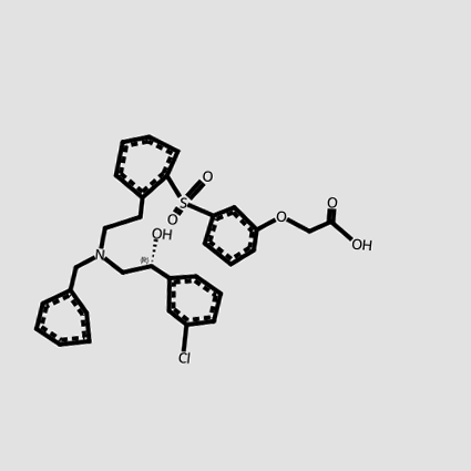 O=C(O)COc1cccc(S(=O)(=O)c2ccccc2CCN(Cc2ccccc2)C[C@H](O)c2cccc(Cl)c2)c1